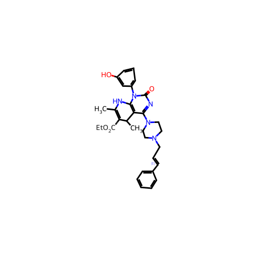 CCOC(=O)C1=C(C)Nc2c(c(N3CCN(C/C=C/c4ccccc4)CC3)nc(=O)n2-c2cccc(O)c2)C1C